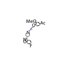 COc1cc(C(C)=O)ccc1OC/C=C/CN1CCC(c2noc3cc(F)ccc23)CC1